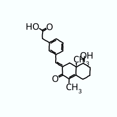 CC1=C2CCC[C@H](O)[C@@]2(C)CC(=Cc2cccc(CC(=O)O)c2)C1=O